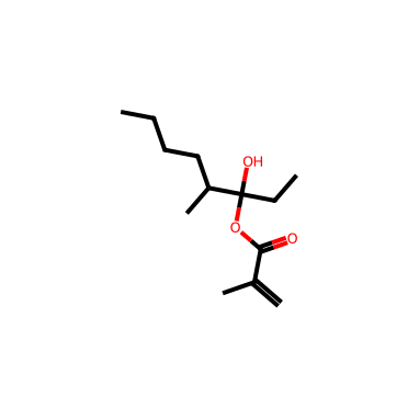 C=C(C)C(=O)OC(O)(CC)C(C)CCCC